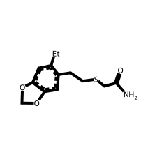 CCc1cc2c(cc1CCSCC(N)=O)OCO2